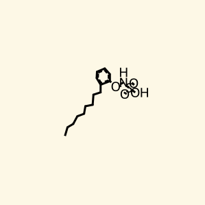 CCCCCCCCCc1ccccc1ONS(=O)(=O)O